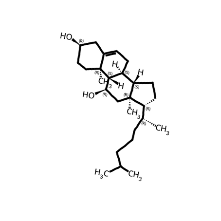 CC(C)CCC[C@@H](C)[C@H]1CC[C@H]2[C@@H]3CC=C4C[C@H](O)CC[C@]4(C)[C@H]3[C@H](O)C[C@]12C